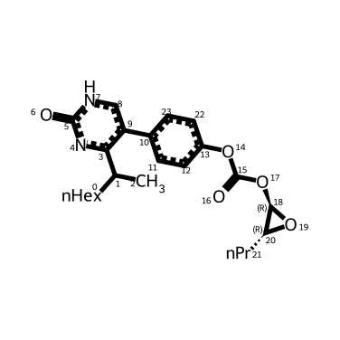 CCCCCCC(C)c1nc(=O)[nH]cc1-c1ccc(OC(=O)O[C@H]2O[C@@H]2CCC)cc1